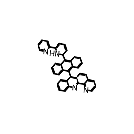 C1=CC(c2c3ccccc3c(-c3c4ccccc4nc4c3ccc3cccnc34)c3ccccc23)NC(c2ccccn2)=C1